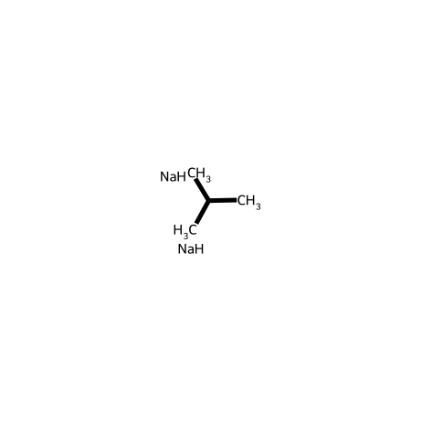 C[C](C)C.[NaH].[NaH]